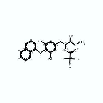 COC(=O)[C@H](Cc1cc(Cl)c(Oc2cccc3ccccc23)c(Cl)c1)NC(=O)C(F)(F)F